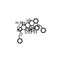 CC[Si](CC)(CC)OC1c2c(OCc3ccccc3)cccc2[C@H](C)[C@@H]2C[C@H]3[C@H](N)c4onc(OCc5ccccc5)c4C(=O)[C@@]3(O)C(=O)[C@]12Sc1ccccc1